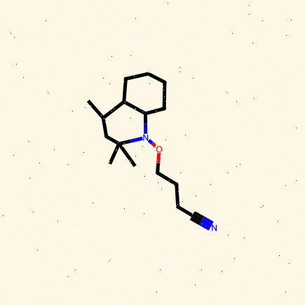 CC1CC(C)(C)N(OCCCC#N)C2CCCCC12